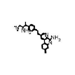 Cc1ccc2c(c1)nc(N)c1ncc(CCc3ccc(C(C)C(N)CN(C)C)cc3)cc12